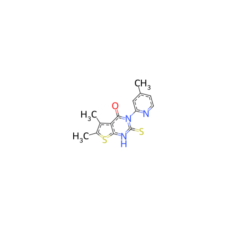 Cc1ccnc(-n2c(=S)[nH]c3sc(C)c(C)c3c2=O)c1